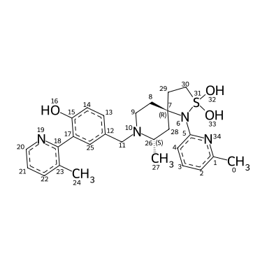 Cc1cccc(N2[C@@]3(CCN(Cc4ccc(O)c(-c5ncccc5C)c4)[C@@H](C)C3)CCS2(O)O)n1